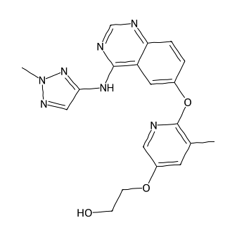 Cc1cc(OCCO)cnc1Oc1ccc2ncnc(Nc3cnn(C)n3)c2c1